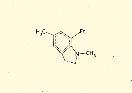 CCc1cc(C)cc2c1N(C)CC2